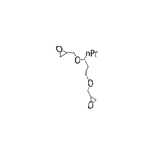 CCCC(CCOCC1CO1)OCC1CO1